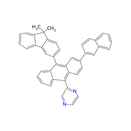 CC1(C)c2ccccc2-c2cc(-c3c4ccccc4c(-c4cnccn4)c4ccc(-c5ccc6ccccc6c5)cc34)ccc21